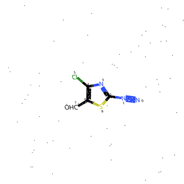 N#[N+]c1nc(Cl)c(C=O)s1